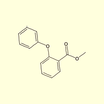 COC(=O)c1ccccc1Oc1c[c]ccc1